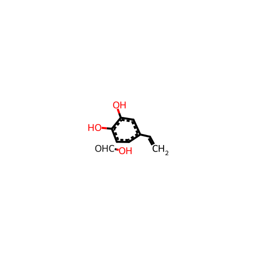 C=Cc1ccc(O)c(O)c1.O=CO